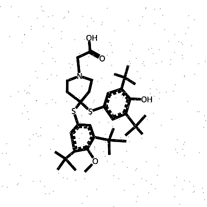 COc1c(C(C)(C)C)cc(SC2(Sc3cc(C(C)(C)C)c(O)c(C(C)(C)C)c3)CCN(CC(=O)O)CC2)cc1C(C)(C)C